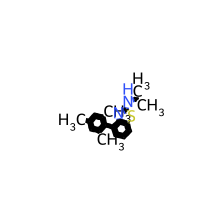 Cc1cc(C)c(-c2cccc3sc(NC(C)C)nc23)c(C)c1